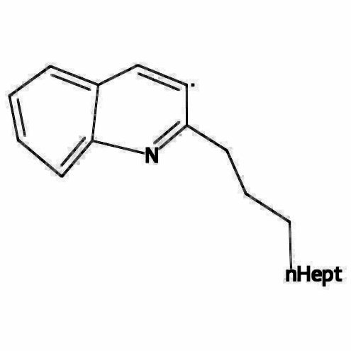 CCCCCCCCCCc1[c]cc2ccccc2n1